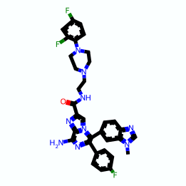 Cn1cnc2ccc(-c3c(-c4ccc(F)cc4)nc(N)c4nc(C(=O)NCCN5CCN(c6ccc(F)cc6F)CC5)cn34)cc21